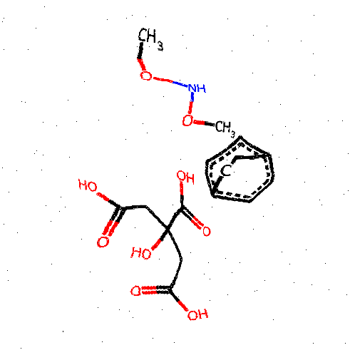 CONOC.O=C(O)CC(O)(CC(=O)O)C(=O)O.c1cc2ccc1CC2